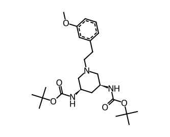 COc1cccc(CCN2C[C@H](NC(=O)OC(C)(C)C)C[C@H](NC(=O)OC(C)(C)C)C2)c1